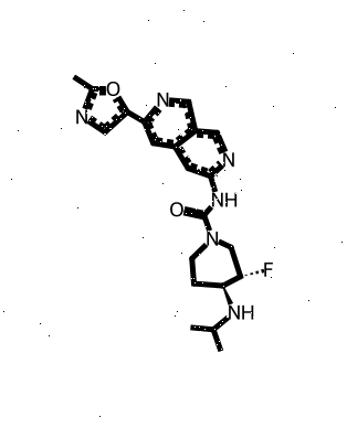 Cc1ncc(-c2cc3cc(NC(=O)N4CC[C@H](NC(C)C)[C@@H](F)C4)ncc3cn2)o1